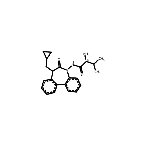 CC(C)[C@H](N)C(=O)NN1C(=O)C(CC2CC2)c2ccccc2-c2ccccc21